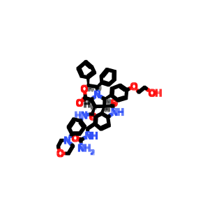 NC(=O)NCC1=CC2C(C=C1)NC(=O)[C@]21[C@H](c2ccc(OCCO)cc2)N2[C@H](c3ccccc3)[C@H](c3ccccc3)OC(=O)[C@H]2[C@@H]1C(=O)Nc1ccc(N2CCOCC2)cc1